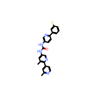 Cc1cc(-c2ncc(NC(=O)Nc3ccc(-c4cccc(F)c4)nc3)cc2C)ccn1